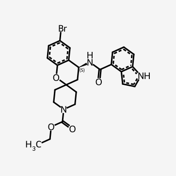 CCOC(=O)N1CCC2(CC1)C[C@H](NC(=O)c1cccc3[nH]ccc13)c1cc(Br)ccc1O2